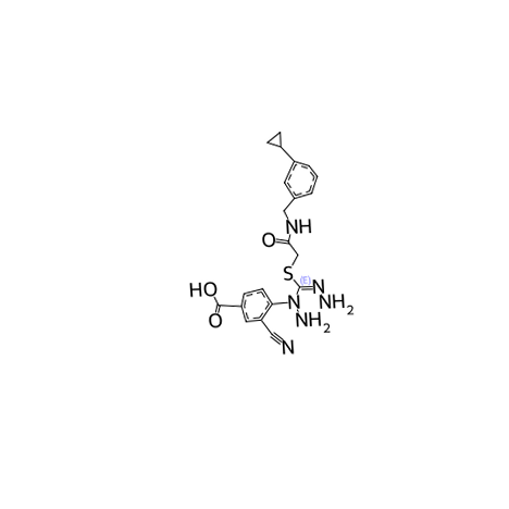 N#Cc1cc(C(=O)O)ccc1N(N)/C(=N\N)SCC(=O)NCc1cccc(C2CC2)c1